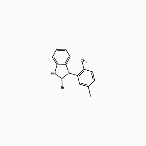 Cc1ccc(I)cc1N1c2ccccc2NC1Br